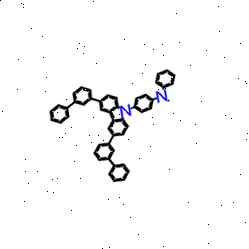 CN(c1ccccc1)c1ccc(-n2c3ccc(-c4cccc(-c5ccccc5)c4)cc3c3cc(-c4cccc(-c5ccccc5)c4)ccc32)cc1